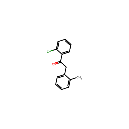 Cc1ccccc1CC(=O)c1ccccc1Cl